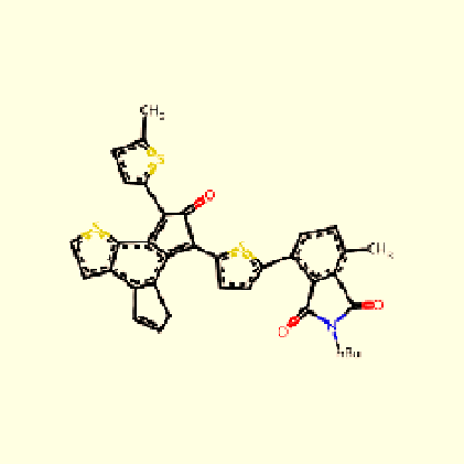 CCCCN1C(=O)c2c(C)ccc(-c3ccc(C4=c5c6c(c7ccsc7c5=C(c5ccc(C)s5)C4=O)C=CC6)s3)c2C1=O